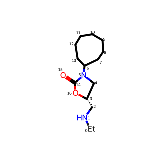 CCNC[C@H]1CN(C2CCCCCCC2)C(=O)O1